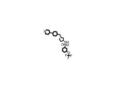 O=S(=O)(N[C@@H]1CCN(Cc2ccc(-c3ccncc3)cc2)C1)c1cccc(OC(F)(F)F)c1